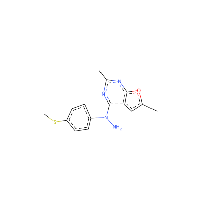 CSc1ccc(N(N)c2nc(C)nc3oc(C)cc23)cc1